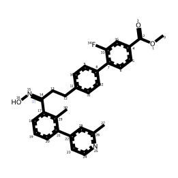 COC(=O)c1ccc(-c2ccc(CC/C(=N/O)c3cccc(-c4ccnc(C)c4)c3C)cc2)c(F)c1